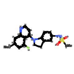 CNS(=O)(=O)Nc1ccc2c(c1)CCN2c1ccnc2cc(OC)cc(F)c12